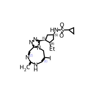 C=C1/N=C\c2nnc([C@H]3C[C@@H](NS(=O)(=O)C4CC4)C[C@H]3CC)n2C/C(I)=C\N1